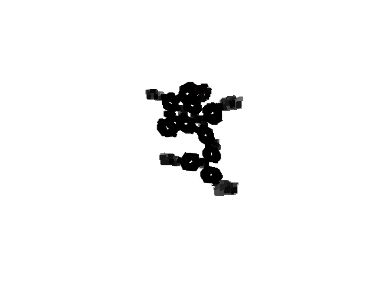 CC(C)(C)c1ccc(N2B3c4cc5occc5cc4N(c4ccc(C(C)(C)C)cc4-c4ccccc4)c4c3c(cc3c4C(C)(C)c4ccccc4-3)-c3cc4c(cc32)sc2ccc(N(c3ccc(C(C)(C)C)cc3)c3ccc(C(C)(C)C)cc3)cc24)cc1